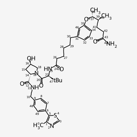 Cc1ncsc1-c1ccc(CNC(=O)[C@@H]2C[C@@H](O)CN2C(=O)[C@@H](NC(=O)CCCCCc2cccc(O[C@H](C)[C@@H](C)CCC(N)=O)c2)C(C)(C)C)cc1